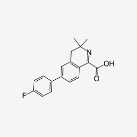 CC1(C)Cc2cc(-c3ccc(F)cc3)ccc2C(C(=O)O)=N1